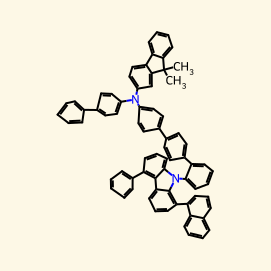 CC1(C)c2ccccc2-c2ccc(N(c3ccc(-c4ccccc4)cc3)c3ccc(-c4ccc(-c5ccccc5-n5c6cccc(-c7ccccc7)c6c6cccc(-c7cccc8ccccc78)c65)cc4)cc3)cc21